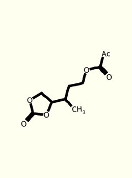 CC(=O)C(=O)OCCC(C)C1COC(=O)O1